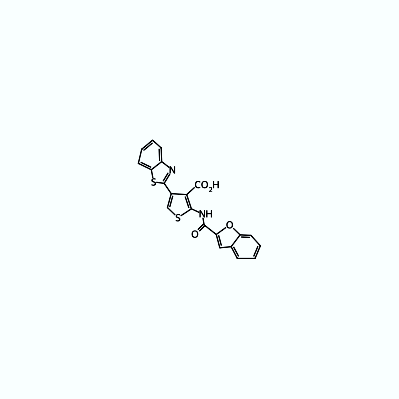 O=C(Nc1scc(-c2nc3ccccc3s2)c1C(=O)O)c1cc2ccccc2o1